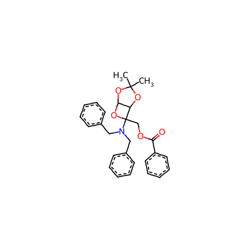 CC1(C)OC2OC(COC(=O)c3ccccc3)(N(Cc3ccccc3)Cc3ccccc3)C2O1